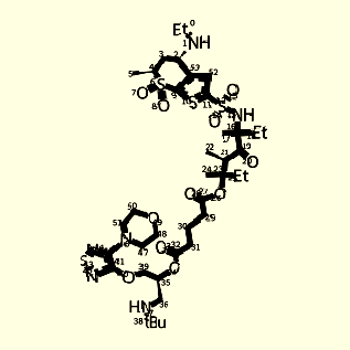 CCN[C@H]1C[C@H](C)S(=O)(=O)c2sc(S(=O)(=O)NC(C)(CC)C(=O)[C@H](C)C(C)(CC)OC(=O)CCCC(=O)O[C@@H](CNC(C)(C)C)COc3nsnc3N3CCOCC3)cc21